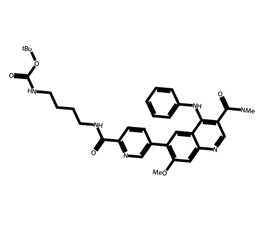 CNC(=O)c1cnc2cc(OC)c(-c3ccc(C(=O)NCCCCNC(=O)OC(C)(C)C)nc3)cc2c1Nc1ccccc1